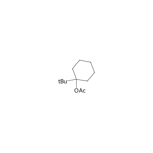 CC(=O)OC1(C(C)(C)C)CCCCC1